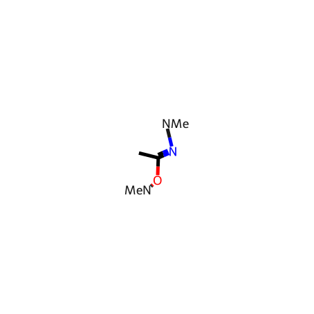 CN/N=C(\C)ONC